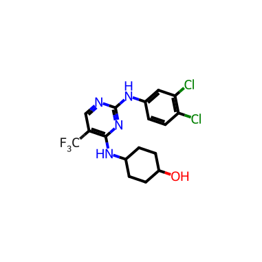 OC1CCC(Nc2nc(Nc3ccc(Cl)c(Cl)c3)ncc2C(F)(F)F)CC1